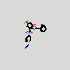 O=C(NC1CCN(CI)CC1)c1cc(Cl)cc2oc(-c3ccccc3)nc12